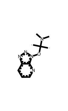 [CH2]C([CH2])(On1nnc2cccnc21)N(C)C